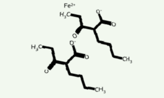 CCCCC(C(=O)[O-])C(=O)CC.CCCCC(C(=O)[O-])C(=O)CC.[Fe+2]